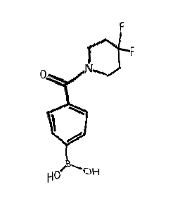 O=C(c1ccc(B(O)O)cc1)N1CCC(F)(F)CC1